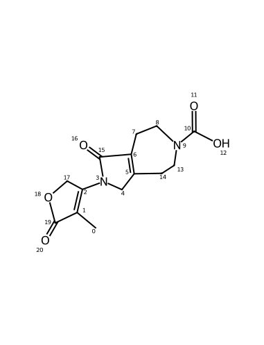 CC1=C(N2CC3=C(CCN(C(=O)O)CC3)C2=O)COC1=O